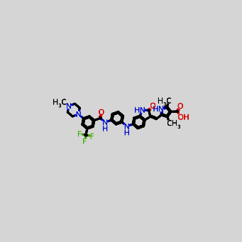 Cc1[nH]c(C=C2C(=O)Nc3cc(Nc4cccc(NC(=O)c5cc(N6CCN(C)CC6)cc(C(F)(F)F)c5)c4)ccc32)c(C)c1C(=O)O